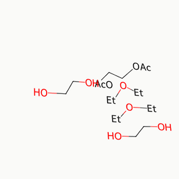 CC(=O)OCCOC(C)=O.CCOCC.CCOCC.OCCO.OCCO